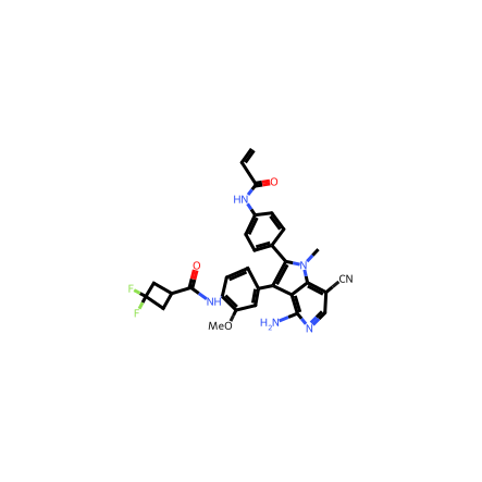 C=CC(=O)Nc1ccc(-c2c(-c3ccc(NC(=O)C4CC(F)(F)C4)c(OC)c3)c3c(N)ncc(C#N)c3n2C)cc1